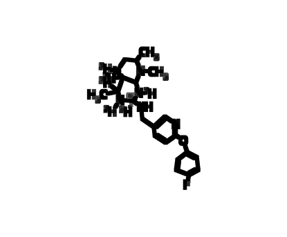 [2H]N1CC(C)N(C)C2N([2H])[C@@]([2H])(NCc3ccc(Oc4ccc(F)cc4)nc3)N([2H])C([2H])(C)C21[2H]